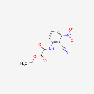 CCOC(=O)C(=O)Nc1cccc([N+](=O)[O-])c1C#N